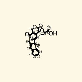 CC[C@@]1(OCC(=O)O)C(=O)OCc2c1cc1n(c2=O)Cc2cc3ccccc3nc2-1